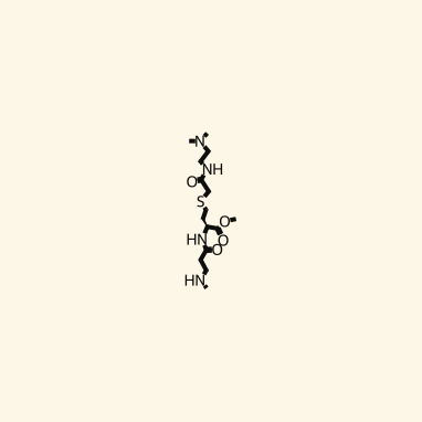 CNCCC(=O)N[C@@H](CCSCC(=O)NCCN(C)C)C(=O)OC